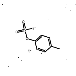 Cc1ccc(OS(=O)(=O)[S-])cc1.[K+]